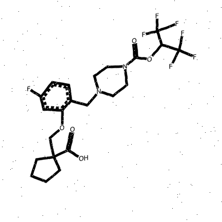 O=C(OC(C(F)(F)F)C(F)(F)F)N1CCN(Cc2ccc(F)cc2OCC2(C(=O)O)CCCC2)CC1